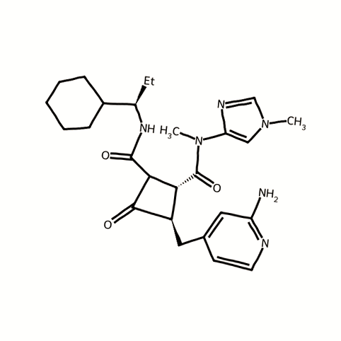 CC[C@@H](NC(=O)C1C(=O)[C@H](Cc2ccnc(N)c2)[C@H]1C(=O)N(C)c1cn(C)cn1)C1CCCCC1